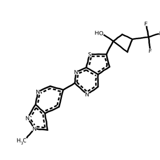 Cn1cc2cc(-c3ncc4cc(C5(O)CC(C(F)(F)F)C5)sc4n3)cnc2n1